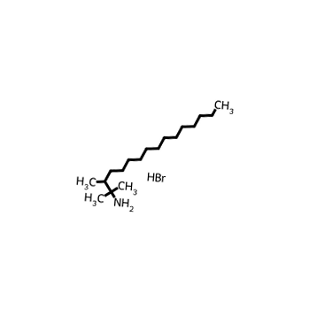 Br.CCCCCCCCCCCCCC(C)C(C)(C)N